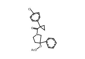 CC(=O)OOC1(c2ccccc2)CCN(C(=O)C2(c3ccc(Cl)cc3)CC2)C1